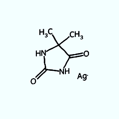 CC1(C)NC(=O)NC1=O.[Ag]